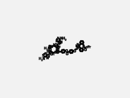 B[P@]1(=O)OC[C@H]2O[C@@H](n3cnc4c(N)ncnc43)[C@H](F)[C@@H]2O[P@@](=O)(SCc2ccc(OC(=O)c3ccc(OCCn4nnc5c4-c4ccccc4N(C(=O)CCC)Cc4ccccc4-5)cc3)cc2)OC[C@H]2O[C@@H](n3cnc4c(N)ncnc43)[C@H](F)[C@@H]2O1